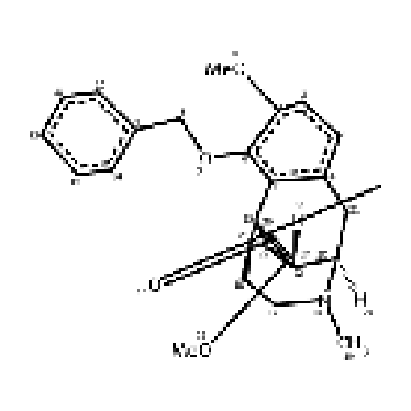 COc1ccc2c(c1OCc1ccccc1)[C@]13CCN(C)[C@H](C2)[C@@H]1CC(OC)C(=O)C3